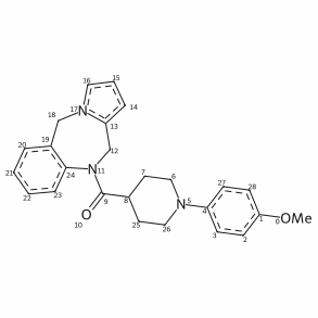 COc1ccc(N2CCC(C(=O)N3Cc4cccn4Cc4ccccc43)CC2)cc1